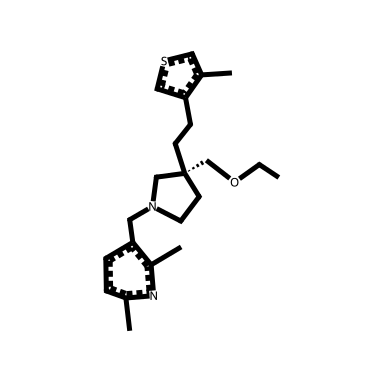 CCOC[C@]1(CCc2cscc2C)CCN(Cc2ccc(C)nc2C)C1